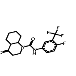 O=C1CCN(C(=O)Nc2ccc(F)c(C(F)(F)F)c2)C2CCCCC12